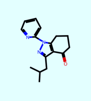 CC(C)Cc1nn(-c2ccccn2)c2c1C(=O)CCC2